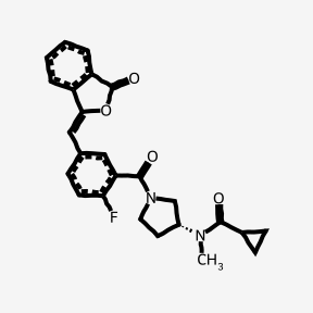 CN(C(=O)C1CC1)[C@@H]1CCN(C(=O)c2cc(/C=C3\OC(=O)c4ccccc43)ccc2F)C1